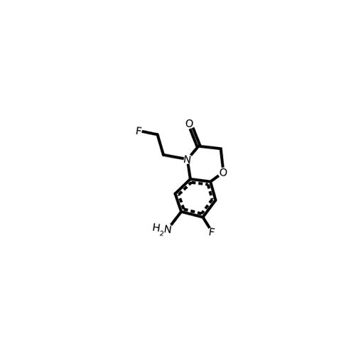 Nc1cc2c(cc1F)OCC(=O)N2CCF